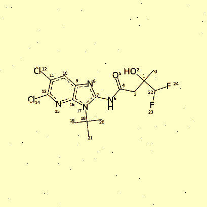 CC(O)(CC(=O)Nc1nc2cc(Cl)c(Cl)nc2n1C(C)(C)C)C(F)F